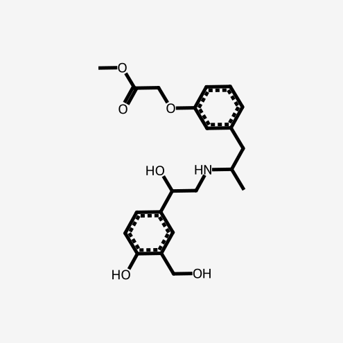 COC(=O)COc1cccc(CC(C)NCC(O)c2ccc(O)c(CO)c2)c1